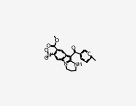 COC(=O)c1cc2c(C(=O)c3ccc(C)cc3)c3n(c2cc1[N+](=O)[O-])CCCN3